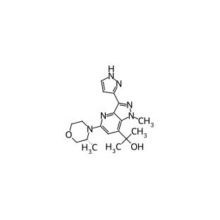 C[C@@H]1COCCN1c1cc(C(C)(C)O)c2c(n1)c(-c1cc[nH]n1)nn2C